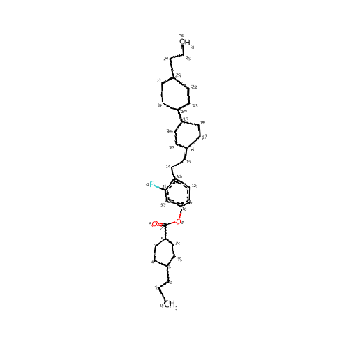 CCCC1CCC(C(=O)Oc2ccc(CCC3CCC(C4CCC(CCC)CC4)CC3)c(F)c2)CC1